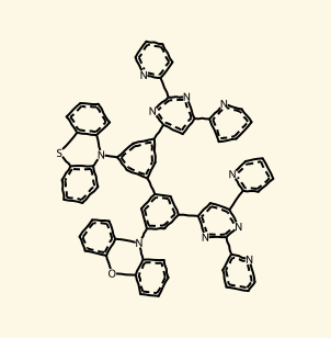 c1ccc(-c2cc(-c3cc(-c4cc(-c5cc(-c6ccccn6)nc(-c6ccccn6)n5)cc(N5c6ccccc6Sc6ccccc65)c4)cc(N4c5ccccc5Oc5ccccc54)c3)nc(-c3ccccn3)n2)nc1